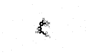 CC(C)(O)c1cc(-c2cnc3[nH]cc(C=CC(N)=O)c3c2)ccc1C#N